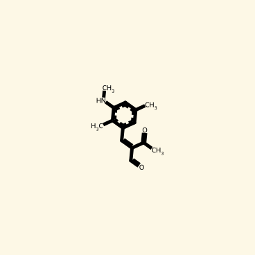 CNc1cc(C)cc(/C=C(/C=O)C(C)=O)c1C